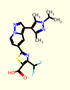 Cc1nn(C(C)C)c(C)c1-c1cnn2ccc(-c3nc(C(F)F)c(C(=O)O)s3)cc12